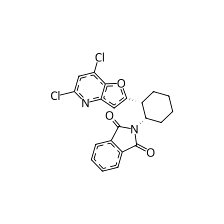 O=C1c2ccccc2C(=O)N1[C@H]1CCCC[C@H]1c1cc2nc(Cl)cc(Cl)c2o1